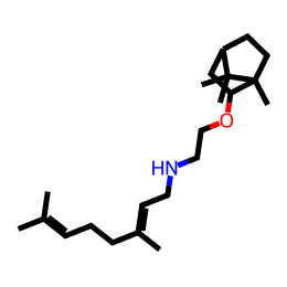 CC(C)=CCC/C(C)=C/CNCCOC1CC2CCC1(C)C2(C)C